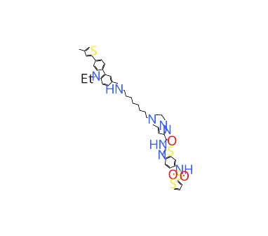 CCn1c2ccc(CNCCCCCCCCN3CCCn4nc(C(=O)Nc5nc6ccc(NS(=O)(=O)c7cccs7)cc6s5)cc4C3)cc2c2ccc(-c3cc(C)cs3)cc21